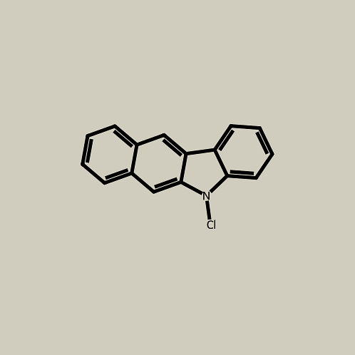 Cln1c2ccccc2c2cc3ccccc3cc21